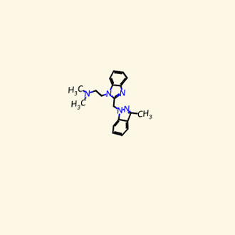 Cc1nn(Cc2nc3ccccc3n2CCN(C)C)c2ccccc12